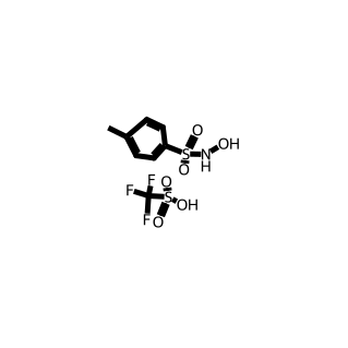 Cc1ccc(S(=O)(=O)NO)cc1.O=S(=O)(O)C(F)(F)F